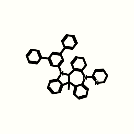 CC12c3ccccc3N(C3=NCCC=C3)C3=C(C=CCC3)C1N(c1cc(-c3ccccc3)cc(-c3ccccc3)c1)c1ccccc12